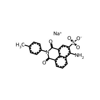 Cc1ccc(N2C(=O)c3cccc4c(N)c(S(=O)(=O)[O-])cc(c34)C2=O)cc1.[Na+]